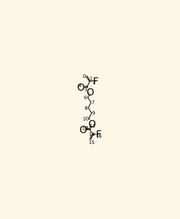 C=C(F)C(=O)OCCCCCOC(=O)C(=C)F